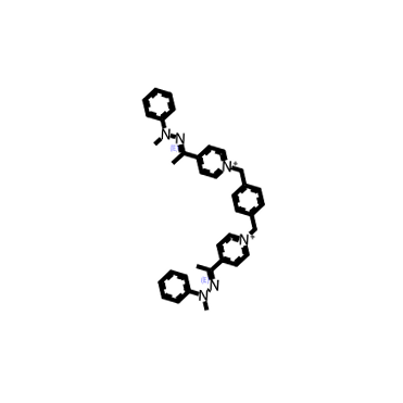 C/C(=N\N(C)c1ccccc1)c1cc[n+](Cc2ccc(C[n+]3ccc(/C(C)=N/N(C)c4ccccc4)cc3)cc2)cc1